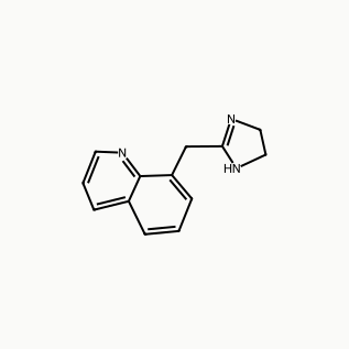 c1cnc2c(CC3=NCCN3)cccc2c1